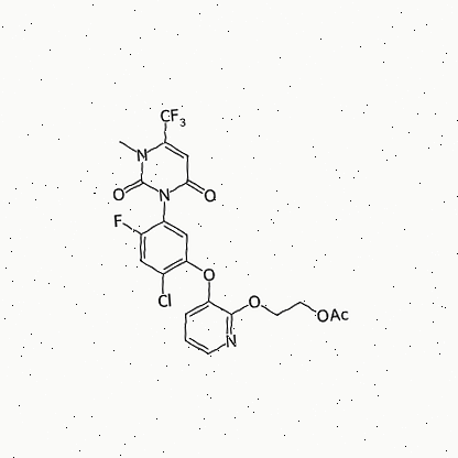 CC(=O)OCCOc1ncccc1Oc1cc(-n2c(=O)cc(C(F)(F)F)n(C)c2=O)c(F)cc1Cl